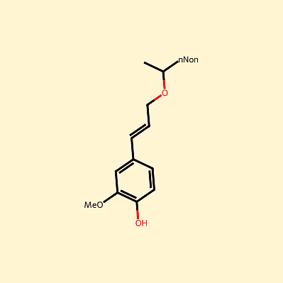 CCCCCCCCCC(C)OC/C=C/c1ccc(O)c(OC)c1